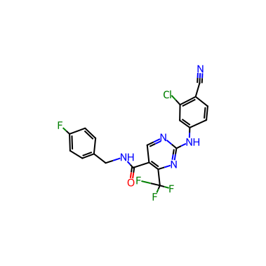 N#Cc1ccc(Nc2ncc(C(=O)NCc3ccc(F)cc3)c(C(F)(F)F)n2)cc1Cl